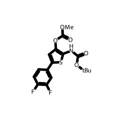 COC(=O)Oc1cc(-c2ccc(F)c(F)c2)sc1NC(=O)OC(C)(C)C